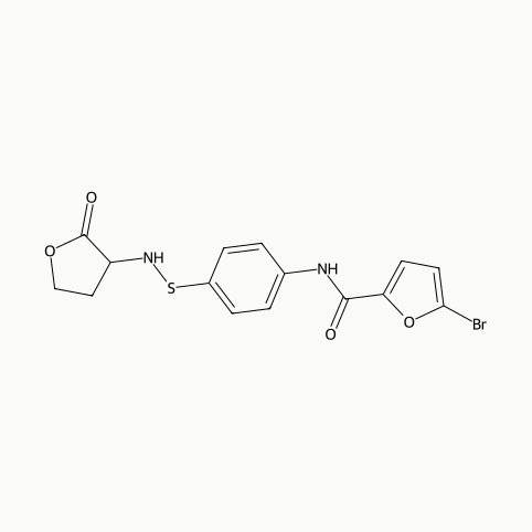 O=C(Nc1ccc(SNC2CCOC2=O)cc1)c1ccc(Br)o1